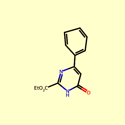 CCOC(=O)c1nc(-c2ccccc2)cc(=O)[nH]1